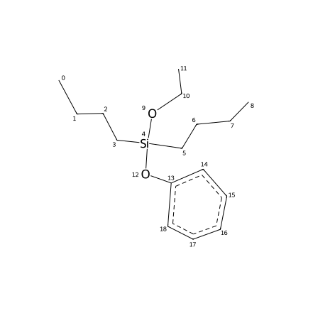 CCCC[Si](CCCC)(OCC)Oc1ccccc1